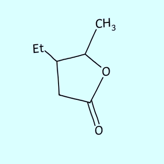 CCC1CC(=O)OC1C